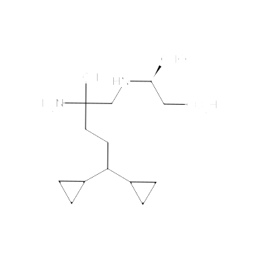 CC(N)(CCC(C1CC1)C1CC1)CN[C@@H](C=O)CC(=O)O